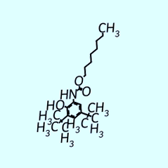 CCCCCCCCOC(=O)Nc1cc(C(C)(C)C)cc(C(C)(C)C)c1O